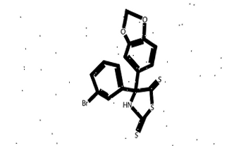 S=C1NC(c2cccc(Br)c2)(c2ccc3c(c2)OCO3)C(=S)S1